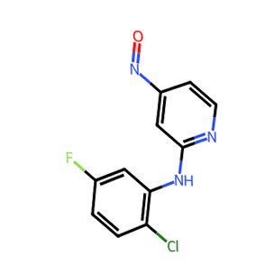 O=Nc1ccnc(Nc2cc(F)ccc2Cl)c1